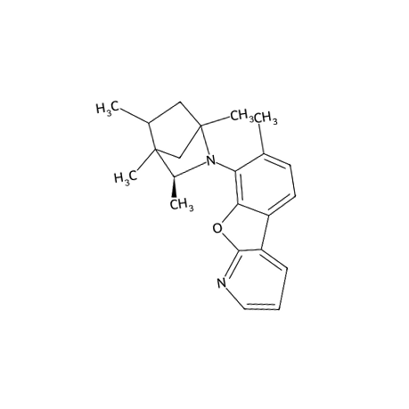 Cc1ccc2c(oc3ncccc32)c1N1[C@@H](C)C2(C)CC1(C)CC2C